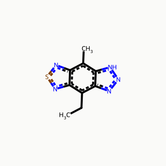 CCc1c2nsnc2c(C)c2[nH]nnc12